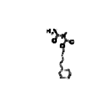 CN(C(N)=O)C(=O)OCCCCc1ccccc1